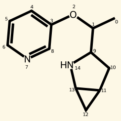 CC(Oc1cccnc1)C1CC2CC2N1